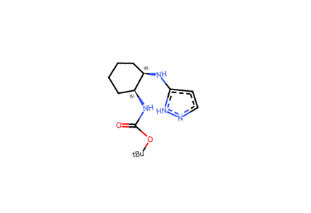 CC(C)(C)OC(=O)N[C@H]1CCCC[C@H]1Nc1ccn[nH]1